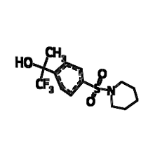 CC(O)(c1ccc(S(=O)(=O)N2CCCCC2)cc1)C(F)(F)F